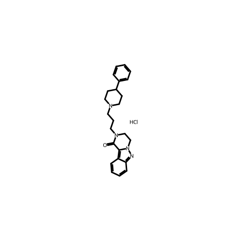 Cl.O=C1c2c3ccccc3nn2CCN1CCCN1CCC(c2ccccc2)CC1